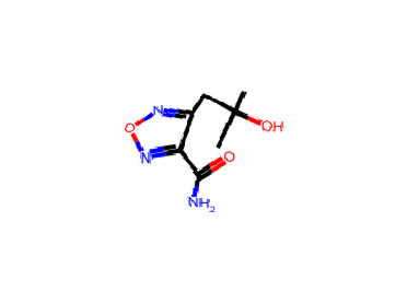 CC(C)(O)Cc1nonc1C(N)=O